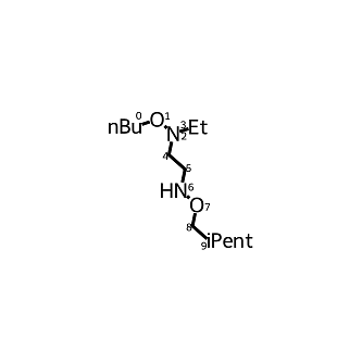 CCCCON(CC)CCNOCC(C)CCC